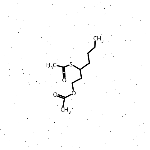 CCCCC(CCOC(C)=O)SC(C)=O